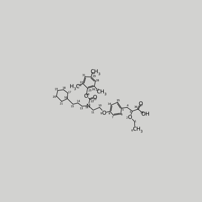 CCOC(Cc1ccc(OCCN(CCCC2CCCCC2)C(=O)Oc2c(C)cc(C)cc2C)cc1)C(=O)O